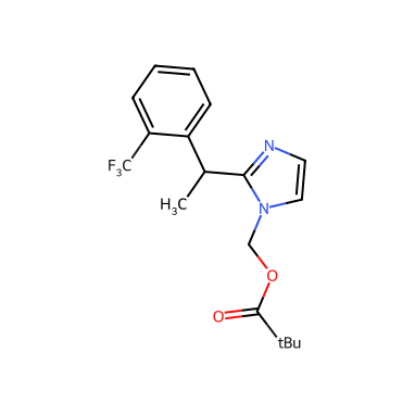 CC(c1ccccc1C(F)(F)F)c1nccn1COC(=O)C(C)(C)C